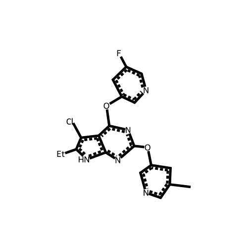 CCc1[nH]c2nc(Oc3cncc(C)c3)nc(Oc3cncc(F)c3)c2c1Cl